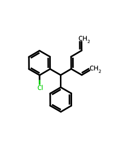 C=C/C=C(\C=C)C(c1ccccc1)c1ccccc1Cl